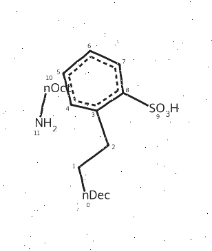 CCCCCCCCCCCCc1ccccc1S(=O)(=O)O.CCCCCCCCN